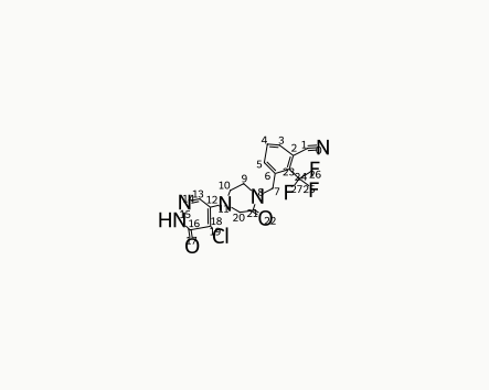 N#Cc1cccc(CN2CCN(c3cn[nH]c(=O)c3Cl)CC2=O)c1C(F)(F)F